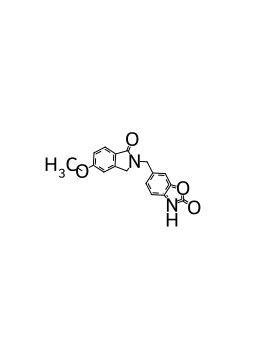 COc1ccc2c(c1)CN(Cc1ccc3[nH]c(=O)oc3c1)C2=O